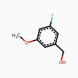 COc1cc(F)cc([CH]O)c1